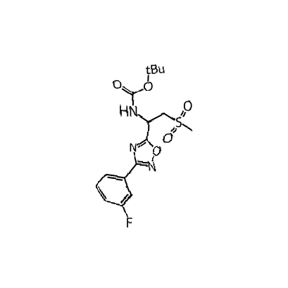 CC(C)(C)OC(=O)NC(CS(C)(=O)=O)c1nc(-c2cccc(F)c2)no1